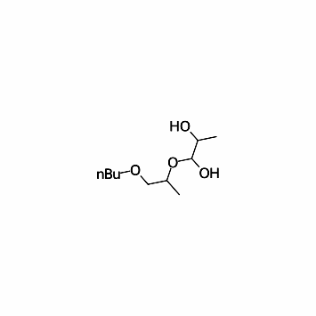 CCCCOCC(C)OC(O)C(C)O